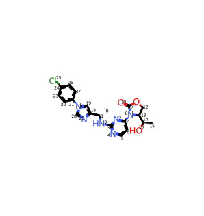 C[C@H](Nc1nccc(N2C(=O)OCC2[C@@H](C)O)n1)c1cn(-c2ccc(Cl)cc2)cn1